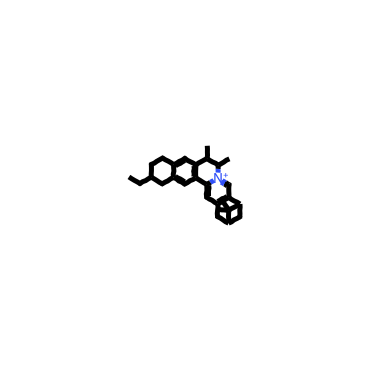 CCC1CCc2cc3c(cc2C1)-c1cc2c(c[n+]1C(C)C3C)C1CC(C2)C1(C)C